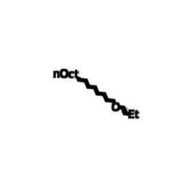 CC/C=C/OCCCCCCCCCCCCCCCC